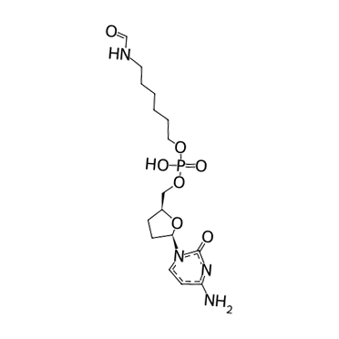 Nc1ccn([C@H]2CC[C@@H](COP(=O)(O)OCCCCCCNC=O)O2)c(=O)n1